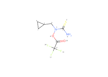 NC(=S)N(CC1CC1)OC(=O)C(F)(F)F